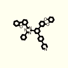 c1ccc(-c2nc(-c3cc(-c4ccc(-c5ccncc5)cc4)cc(-c4ccc5c(c4)Oc4ccccc4O5)c3)nc(-c3cccc4c3oc3ccccc34)n2)cc1